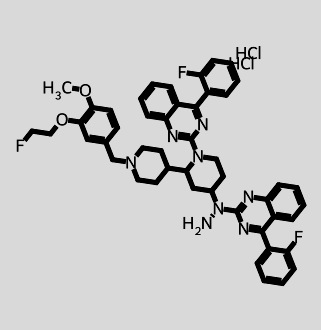 COc1ccc(CN2CCC(C3CC(N(N)c4nc(-c5ccccc5F)c5ccccc5n4)CCN3c3nc(-c4ccccc4F)c4ccccc4n3)CC2)cc1OCCF.Cl.Cl